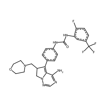 NC1=NC=NN2CC(CN3CCOCC3)C(c3ccc(NC(=O)Nc4cc(C(F)(F)F)ccc4F)cc3)=C12